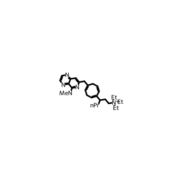 CCCC(CC[N+](CC)(CC)CC)C1=CC/C=C(/Cc2cc3nccnc3c(NC)n2)C/C=C\1